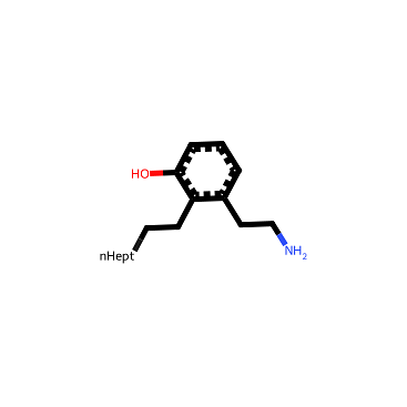 CCCCCCCCCc1c(O)cccc1CCN